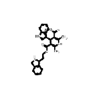 COC(=O)C1=C(C)NC(C)=C(C(=O)OCCC2NCc3ccccc32)C1c1c[nH]c2ccccc12